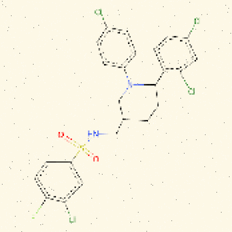 O=S(=O)(NCC1CCC(c2ccc(Cl)cc2Cl)N(c2ccc(Cl)cc2)C1)c1ccc(F)c(Cl)c1